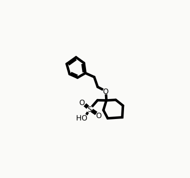 O=S(=O)(O)CC1(OCCc2ccccc2)CCCCC1